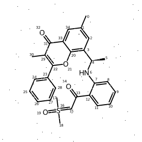 Cc1cc([C@@H](C)Nc2ccccc2C(=O)C=S(C)(C)=O)c2oc(-c3ccccc3)c(C)c(=O)c2c1